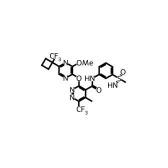 COc1nc(C2(C(F)(F)F)CCC2)cnc1Oc1nnc(C(F)(F)F)c(C)c1C(=O)Nc1cccc(S(C)(=N)=O)c1